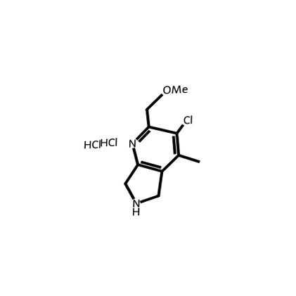 COCc1nc2c(c(C)c1Cl)CNC2.Cl.Cl